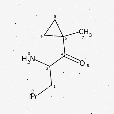 CC(C)CC(N)C(=O)C1(C)CC1